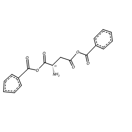 N[C@@H](CC(=O)OC(=O)c1ccccc1)C(=O)OC(=O)c1ccccc1